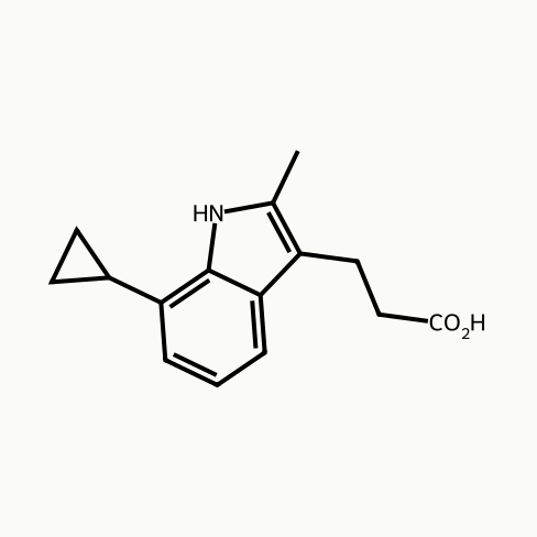 Cc1[nH]c2c(C3CC3)cccc2c1CCC(=O)O